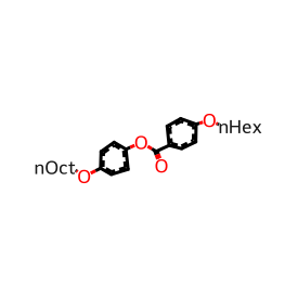 CCCCCCCCOc1ccc(OC(=O)c2ccc(OCCCCCC)cc2)cc1